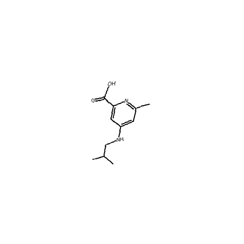 Cc1cc(NCC(C)C)cc(C(=O)O)n1